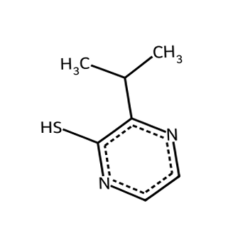 CC(C)c1nccnc1S